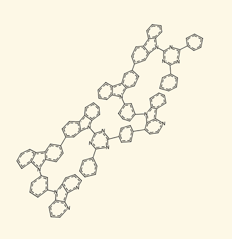 c1ccc(-c2nc(-c3ccc(-c4ccnc5c6ccccc6n(-c6cccc(-n7c8ccccc8c8cc(-c9ccc%10c%11ccccc%11n(-c%11nc(-c%12ccccc%12)nc(-c%12ccccc%12)n%11)c%10c9)ccc87)c6)c45)cc3)nc(-n3c4ccccc4c4ccc(-c5ccc6c(c5)c5ccccc5n6-c5cccc(-n6c7cccnc7c7ncccc76)c5)cc43)n2)cc1